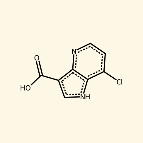 O=C(O)c1c[nH]c2c(Cl)ccnc12